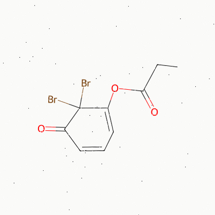 CCC(=O)OC1=CC=CC(=O)C1(Br)Br